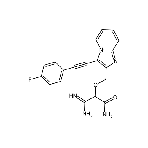 N=C(N)C(OCc1nc2ccccn2c1C#Cc1ccc(F)cc1)C(N)=O